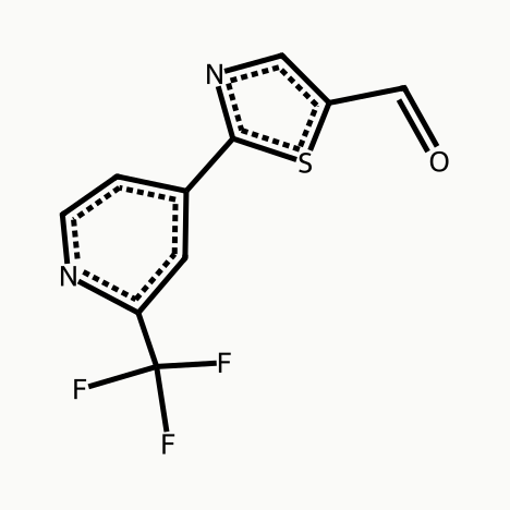 O=Cc1cnc(-c2ccnc(C(F)(F)F)c2)s1